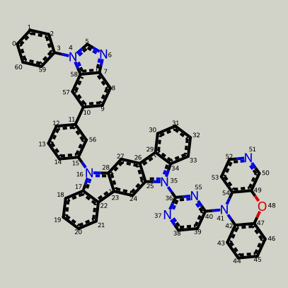 c1ccc(-n2cnc3ccc(-c4cccc(-n5c6ccccc6c6cc7c(cc65)c5ccccc5n7-c5nccc(N6c7ccccc7Oc7cnccc76)n5)c4)cc32)cc1